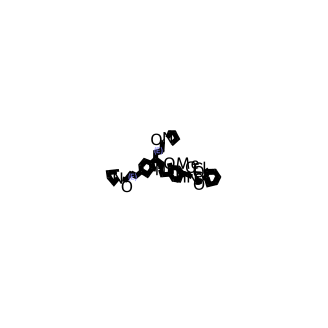 COc1cc(C(=O)NS(=O)(=O)c2ccccc2Cl)ccc1Cn1cc(/C=C/C(=O)N2CCCC2)c2ccc(/C=C/C(=O)N3CCCC3)cc21